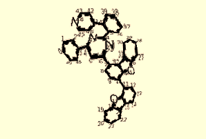 c1ccc(-c2cc(-c3ccc(-c4cccc5c4oc4ccccc45)c4oc5ccccc5c34)nc(-c3ccccc3-c3ccncc3)n2)cc1